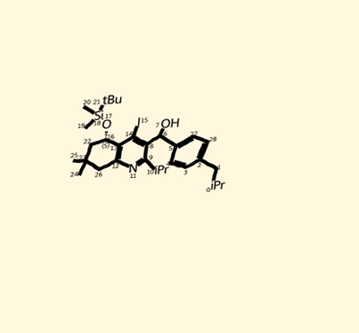 CC(C)Cc1ccc(C(O)c2c(C(C)C)nc3c(c2I)[C@@H](O[Si](C)(C)C(C)(C)C)CC(C)(C)C3)cc1